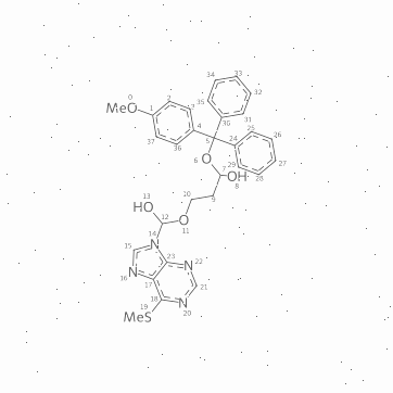 COc1ccc(C(OC(O)CCOC(O)n2cnc3c(SC)ncnc32)(c2ccccc2)c2ccccc2)cc1